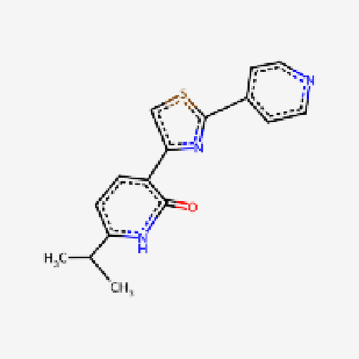 CC(C)c1ccc(-c2csc(-c3ccncc3)n2)c(=O)[nH]1